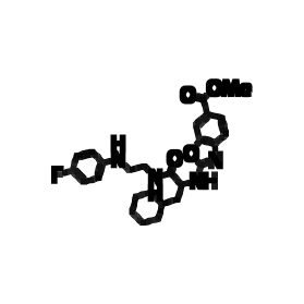 COC(=O)c1ccc2nc(NC(CC3CCCCC3)C(=O)NCCNc3ccc(F)cc3)oc2c1